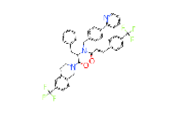 O=C(C(Cc1ccccc1)N(Cc1ccc(-c2ccccn2)cc1)C(=O)C=Cc1ccc(C(F)(F)F)cc1)N1CCc2cc(C(F)(F)F)ccc2C1